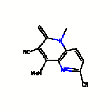 C=C1C(C#N)=C(NC)c2nc(C#N)ccc2N1C